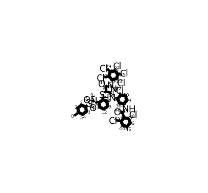 Cc1ccc(S(=O)(=O)N(C)c2ccccc2SC2C(=O)N(c3c(Cl)c(Cl)c(Cl)c(Cl)c3Cl)N=C2Nc2cc(NC(=O)c3c(Cl)cccc3Cl)ccc2Cl)cc1